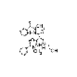 CN(NC(=O)C(=CNCCO)C(=O)NN(C)C(=S)c1ccccc1)C(=S)c1ccccc1